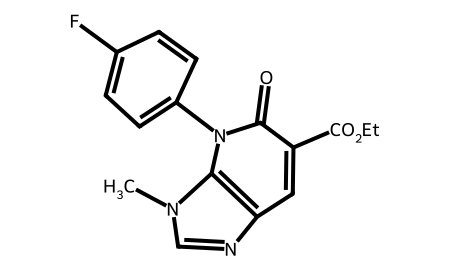 CCOC(=O)c1cc2ncn(C)c2n(-c2ccc(F)cc2)c1=O